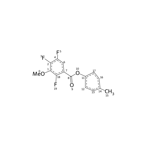 COc1c(F)c(F)cc(C(=O)Oc2ccc(C)cc2)c1F